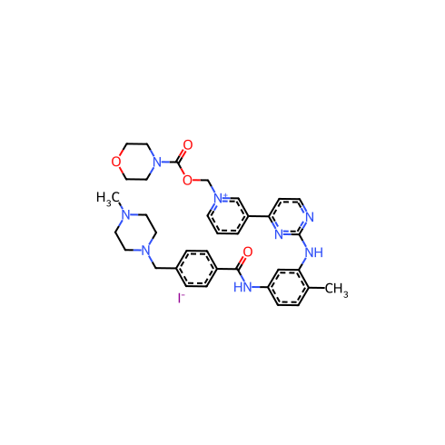 Cc1ccc(NC(=O)c2ccc(CN3CCN(C)CC3)cc2)cc1Nc1nccc(-c2ccc[n+](COC(=O)N3CCOCC3)c2)n1.[I-]